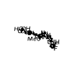 COc1cc2c(Nc3ncc(CC(=O)Nc4cccc(F)c4F)s3)ncnc2cc1OCCCN1CCN(CCOP(=O)(O)O)CC1